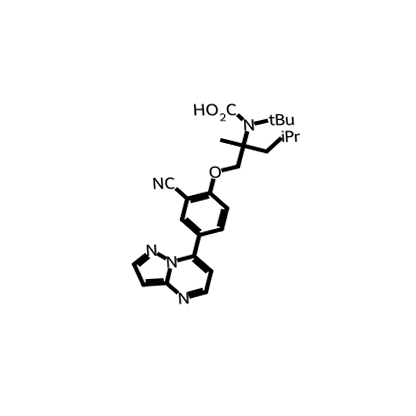 CC(C)CC(C)(COc1ccc(-c2ccnc3ccnn23)cc1C#N)N(C(=O)O)C(C)(C)C